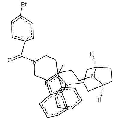 CCc1ccc(C(=O)N2CCC(CCN3[C@@H]4CC[C@H]3CC(n3c(C)nc5ccccc53)C4)(c3ccccc3)CC2)cc1